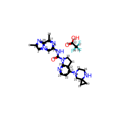 Cc1cn2cc(NC(=O)N3CCc4c(N5CCNC6(CC6)C5)ccnc43)nc(C)c2n1.O=C(O)C(F)(F)F